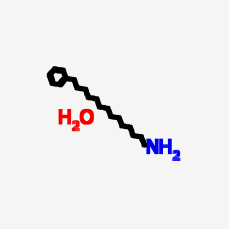 NCCCCCCCCCCCCCCc1ccccc1.O